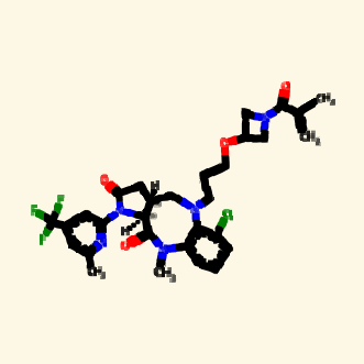 C=C(C)C(=O)N1CC(OCCCN2C[C@H]3CC(=O)N(c4cc(C(F)(F)F)cc(C)n4)[C@@H]3C(=O)N(C)c3cccc(Cl)c32)C1